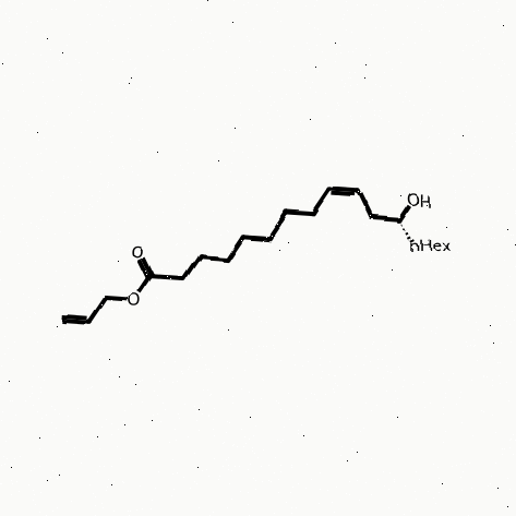 C=CCOC(=O)CCCCCCC/C=C\C[C@H](O)CCCCCC